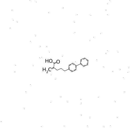 C=C(CCCc1ccc(-c2ccccc2)cc1)C(=O)O